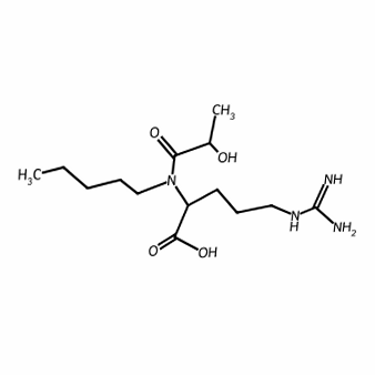 CCCCCN(C(=O)C(C)O)C(CCCNC(=N)N)C(=O)O